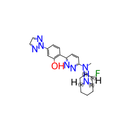 CN(c1ccc(-c2ccc(-n3nccn3)cc2O)nn1)[C@H]1C[C@@H]2CCC[C@@H](N2)[C@H]1F